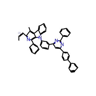 C/C=C\c1nc(-c2ccccc2)c2c(c1C)c1ccccc1n2-c1cccc(-c2cc(-c3ccc(-c4cc#ccc4)cc3)nc(-c3ccccc3)n2)c1